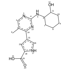 Cc1cnc(NC2CCCCC2O)nc1-c1c[nH]c(C(=O)O)c1